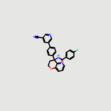 N#Cc1cncc(-c2ccc(C3(NC(=O)c4ccc(F)cc4)CCOc4cccnc43)cc2)c1